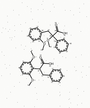 COc1cccc(OC)c1C(Cc1ccccc1)C(=O)O.COc1ccccc1CC(OC)(C(=O)O)c1ccccc1